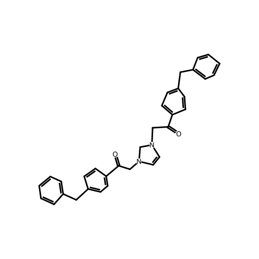 O=C(CN1C=CN(CC(=O)c2ccc(Cc3ccccc3)cc2)C1)c1ccc(Cc2ccccc2)cc1